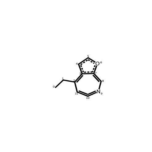 CCC1=c2ccoc2=CN=C=C1